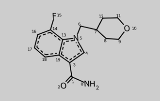 NC(=O)c1cn(CC2CCOCC2)c2c(F)cccc12